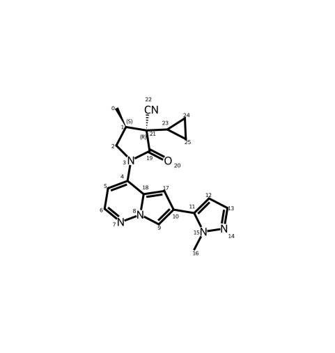 C[C@@H]1CN(c2ccnn3cc(-c4ccnn4C)cc23)C(=O)[C@]1(C#N)C1CC1